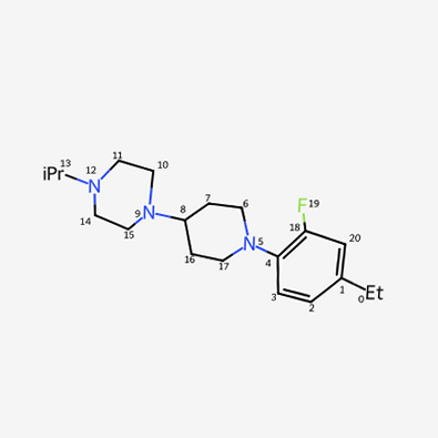 CCc1ccc(N2CCC(N3CCN(C(C)C)CC3)CC2)c(F)c1